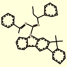 CCC(/N=C(\N=C(/C)c1ccccc1)n1c2ccccc2c2cc3c(cc21)C(C)(C)c1ccccc1-3)c1ccccc1